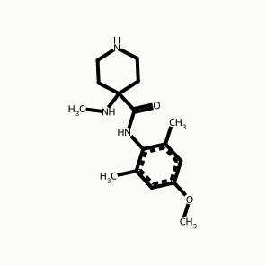 CNC1(C(=O)Nc2c(C)cc(OC)cc2C)CCNCC1